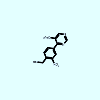 COc1cncnc1-c1ccc(CC(C)(C)C)c([N+](=O)[O-])c1